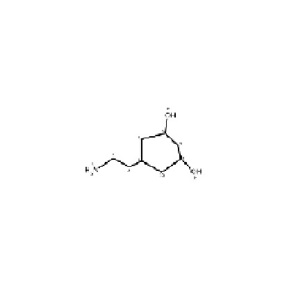 NCCC1CC(O)CC(O)C1